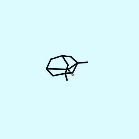 CC12CC3CC(C1)C(Br)C(C)(C3)C2